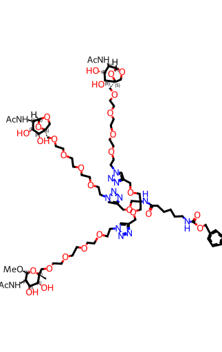 CO[C@H]1O[C@](C)(COCCOCCOCCOCCn2cc(COCC(COCc3cn(CCOCCOCCOCCOC[C@@]45CO[C@H](O4)[C@H](NC(C)=O)[C@@H](O)[C@H]5O)nn3)(COCc3cn(CCOCCOCCOCCOC[C@@]45CO[C@@H](O4)[C@H](NC(C)=O)[C@@H](O)[C@H]5O)nn3)NC(=O)CCCCCNC(=O)OCc3ccccc3)nn2)[C@H](O)[C@H](O)[C@H]1NC(C)=O